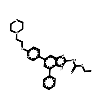 CCOC(=O)Nc1nc2cc(-c3ccc(OCCN4CCOCC4)nc3)cc(-c3ccccn3)c2[nH]1